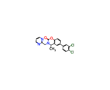 CC1c2cc(-c3ccc(Cl)c(Cl)c3)ccc2OC(=O)N1Cc1ncccn1